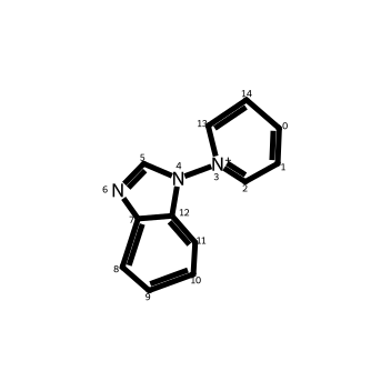 c1cc[n+](-n2cnc3ccccc32)cc1